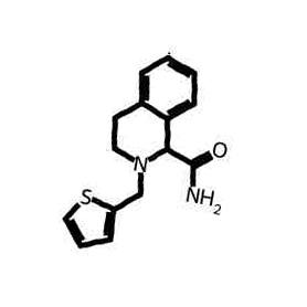 NC(=O)C1c2cc[c]cc2CCN1Cc1cccs1